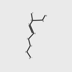 [CH2]CCCC=CC(C)CC